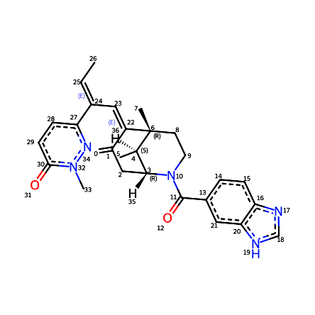 C=C1C[C@@H]2[C@@H](C)[C@@](C)(CCN2C(=O)c2ccc3nc[nH]c3c2)/C1=C/C(=C\C)c1ccc(=O)n(C)n1